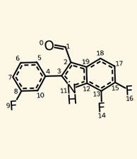 O=Cc1c(-c2cccc(F)c2)[nH]c2c(F)c(F)ccc12